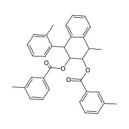 Cc1cccc(C(=O)OC2C(C)c3ccccc3C(c3ccccc3C)C2OC(=O)c2cccc(C)c2)c1